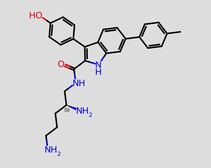 Cc1ccc(-c2ccc3c(-c4ccc(O)cc4)c(C(=O)NC[C@@H](N)CCCN)[nH]c3c2)cc1